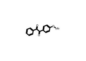 CCCOc1ccc(C(=O)C(=O)c2ccccc2)cc1